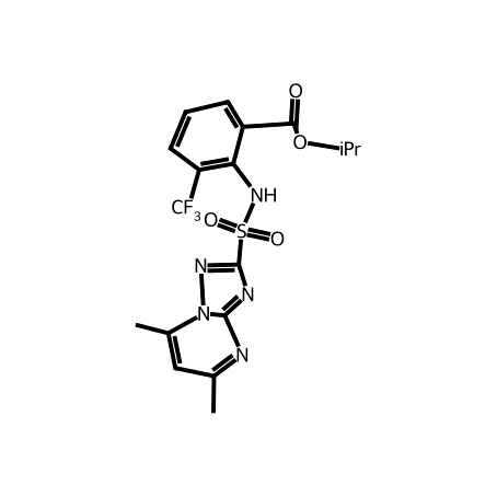 Cc1cc(C)n2nc(S(=O)(=O)Nc3c(C(=O)OC(C)C)cccc3C(F)(F)F)nc2n1